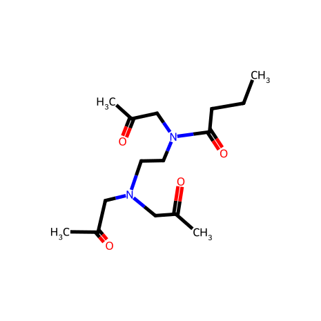 CCCC(=O)N(CCN(CC(C)=O)CC(C)=O)CC(C)=O